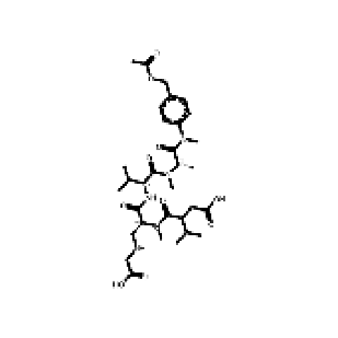 CC(=O)OCc1ccc(N(C)C(=O)[C@H](C)N(C)C(=O)[C@@H](NC(=O)[C@H](CNCC(=O)O)N(C)C(=O)C(CC(=O)O)C(C)C)C(C)C)cc1